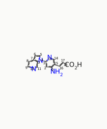 Nc1cc(-n2ccc3ccncc32)ncc1C=CC(=O)O